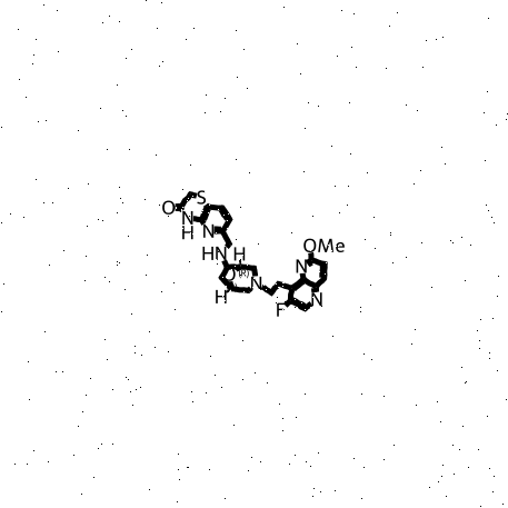 COc1ccc2ncc(F)c(CCN3C[C@H]4CC(NCc5ccc6c(n5)NC(=O)CS6)[C@@H](C3)O4)c2n1